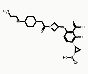 NCCNC1CCC(CC(=O)N2CC(Oc3ccc([C@@H]4C[C@@H]4B(O)O)c(O)c3C(=O)O)C2)CC1